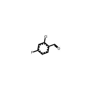 O=Cc1c[c]c(F)cc1Cl